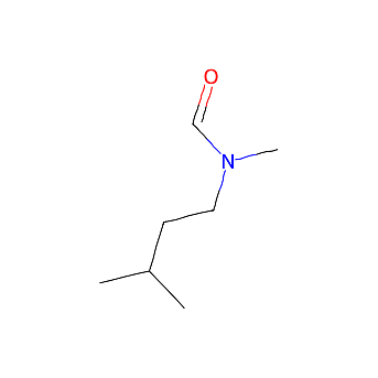 CC(C)CCN(C)C=O